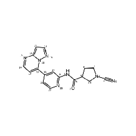 N#CN1CCC(C(=O)Nc2cc(-c3ccnc4ccnn34)ccn2)C1